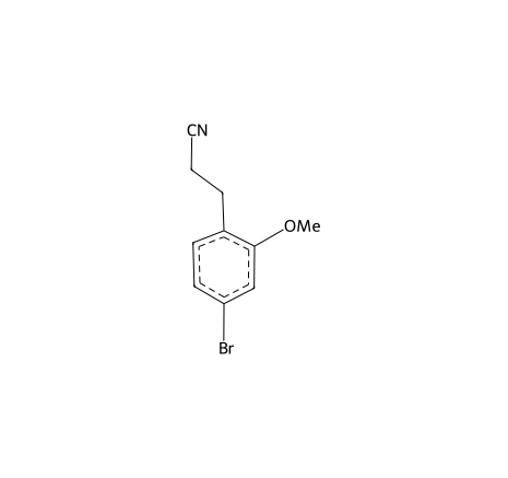 COc1cc(Br)ccc1CCC#N